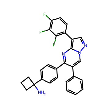 NC1(c2ccc(-c3nc4c(-c5ccc(F)c(F)c5F)cnn4cc3-c3ccccc3)cc2)CCC1